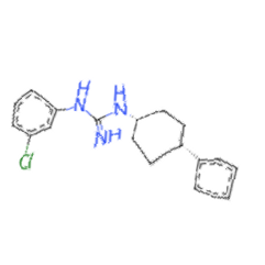 N=C(Nc1cccc(Cl)c1)N[C@H]1CC[C@@H](c2ccccc2)CC1